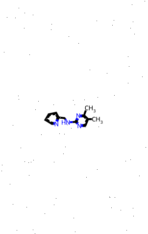 Cc1cnc(NCc2ccccn2)nc1C